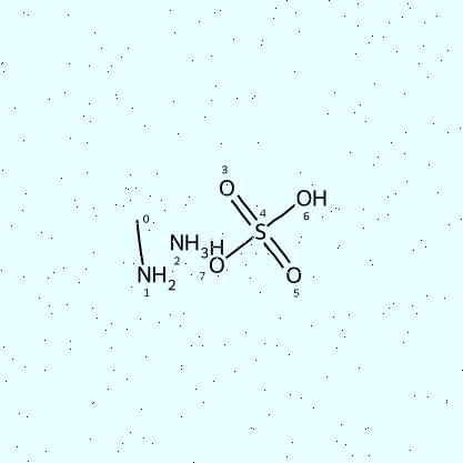 CN.N.O=S(=O)(O)O